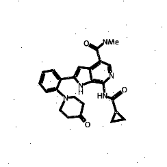 CNC(=O)c1cnc(NC(=O)C2CC2)c2[nH]c(-c3ccccc3N3CCC(=O)CC3)cc12